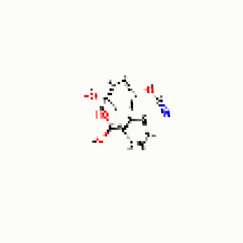 N#COc1ccc(O)cc1.O=C(O)c1ccccc1